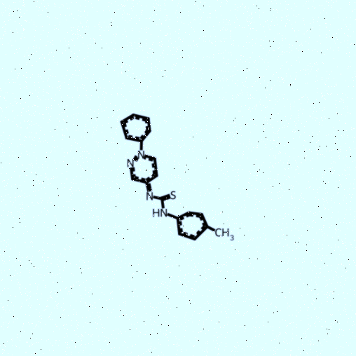 Cc1ccc(NC(=S)N=c2ccn(-c3ccccc3)nc2)cc1